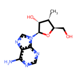 C[C@H]1[C@@H](O)[C@H](n2cnc3c(N)ncnc32)O[C@@H]1CO